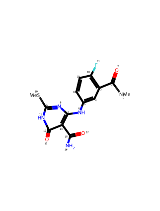 CNC(=O)c1cc(Nc2nc(SC)[nH]c(=O)c2C(N)=O)ccc1F